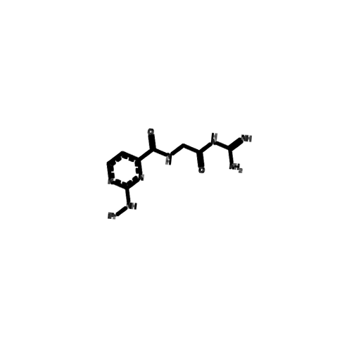 CC(C)Nc1nccc(C(=O)NCC(=O)NC(=N)N)n1